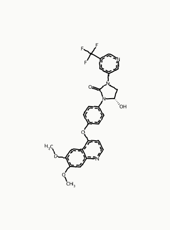 COc1cc2nccc(Oc3ccc(N4C(=O)N(c5cncc(C(F)(F)F)c5)C[C@@H]4O)cc3)c2cc1OC